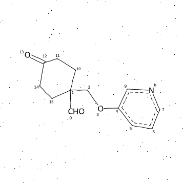 O=CC1(COc2cccnc2)CCC(=O)CC1